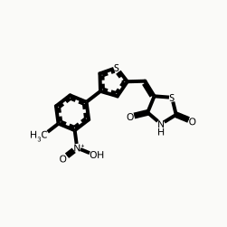 Cc1ccc(-c2csc(C=C3SC(=O)NC3=O)c2)cc1[N+](=O)O